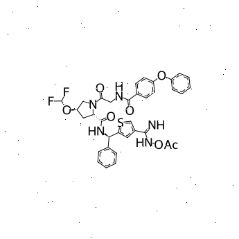 CC(=O)ONC(=N)c1csc([C@H](NC(=O)[C@@H]2C[C@@H](OC(F)F)CN2C(=O)CNC(=O)c2ccc(Oc3ccccc3)cc2)c2ccccc2)c1